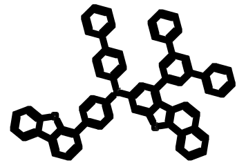 c1ccc(-c2ccc(N(c3ccc(-c4cccc5c4oc4ccccc45)cc3)c3cc(-c4cc(-c5ccccc5)cc(-c5ccccc5)c4)c4c(c3)oc3c5ccccc5ccc34)cc2)cc1